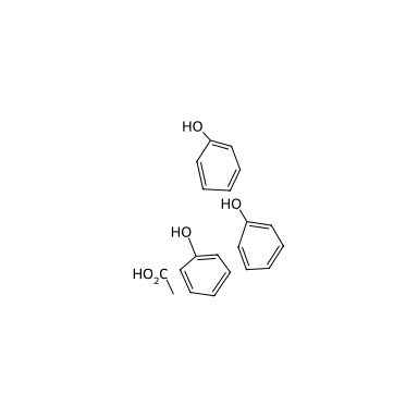 CC(=O)O.Oc1ccccc1.Oc1ccccc1.Oc1ccccc1